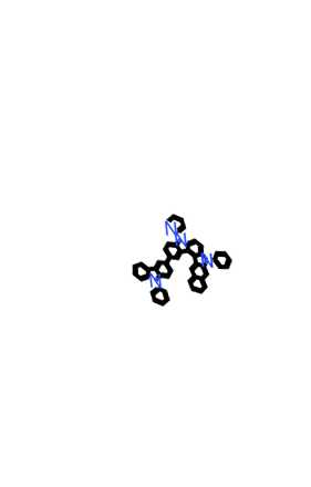 c1ccc(-n2c3ccccc3c3cc(-c4ccc5c(c4)c4c6c7cc8ccccc8cc7n(-c7ccccc7)c6ccc4n5-c4ccccn4)ccc32)cc1